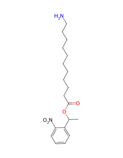 CC(OC(=O)CCCCCCCCCCN)c1ccccc1[N+](=O)[O-]